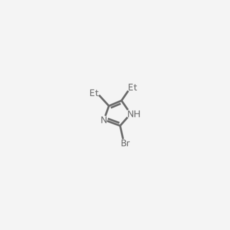 CCc1nc(Br)[nH]c1CC